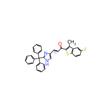 Cc1c(C(=O)/C=C/c2c[nH]c(C(c3ccccc3)(c3ccccc3)c3ccccc3)n2)sc2ccc(F)cc12